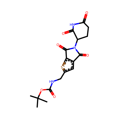 CC(C)(C)OC(=O)NCc1cc2c(s1)C(=O)N(C1CCC(=O)NC1=O)C2=O